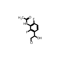 CC(=O)Nc1c(F)ccc(C(O)CCl)c1F